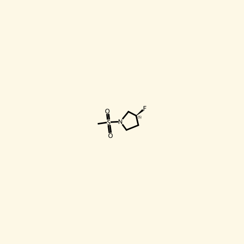 CS(=O)(=O)N1CC[C@H](F)C1